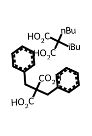 CCCCC(C(=O)O)(C(=O)O)C(C)CC.O=C(O)C(Cc1ccccc1)(Cc1ccccc1)C(=O)O